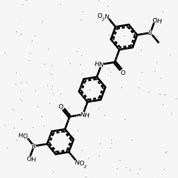 CB(O)c1cc(C(=O)Nc2ccc(NC(=O)c3cc(B(O)O)cc([N+](=O)[O-])c3)cc2)cc([N+](=O)[O-])c1